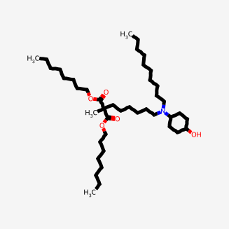 CCCCCCCCCCN(CCCCCCC(C)(C(=O)OCCCCCCCC)C(=O)OCCCCCCCC)C1CCC(O)CC1